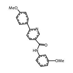 COc1ccc(-c2ccc(C(=O)Nc3cccc(OC)c3)cn2)cc1